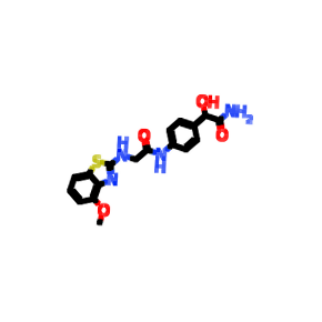 COc1cccc2sc(NCC(=O)Nc3ccc(C(O)C(N)=O)cc3)nc12